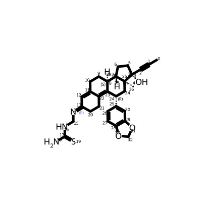 CC#C[C@]1(O)CC[C@H]2[C@@H]3CCC4=C/C(=N/CNC(N)=S)CCC4=C3[C@@H](c3ccc4c(c3)OCO4)C[C@@]21C